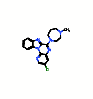 CN1CCCN(c2nc3cc(Cl)cnc3n3c2nc2ccccc23)CC1